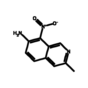 Cc1cc2ccc(N)c([N+](=O)[O-])c2cn1